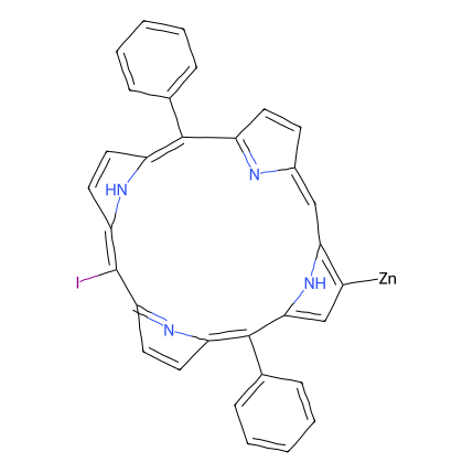 [Zn][c]1cc2[nH]c1cc1nc(c(-c3ccccc3)c3ccc([nH]3)c(I)c3nc(c2-c2ccccc2)C=C3)C=C1